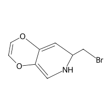 BrCC1C=C2OC=COC2=CN1